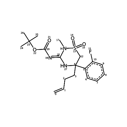 C=CCCC1(c2ccccc2F)CS(=O)(=O)N(C)/C(=N\C(=O)OC(C)(C)C)N1